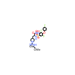 COCCN/C(=N\C#N)N1CCC(CC(NS(=O)(=O)c2cc(F)c(Oc3ccc(F)cc3)c(F)c2)C(=O)NO)CC1